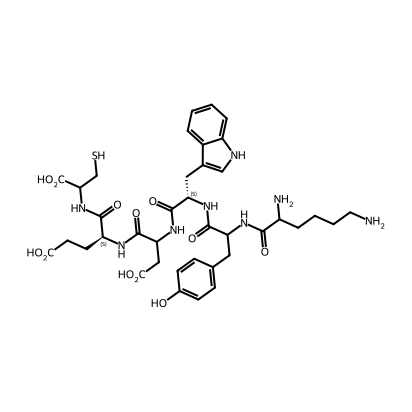 NCCCCC(N)C(=O)NC(Cc1ccc(O)cc1)C(=O)N[C@@H](Cc1c[nH]c2ccccc12)C(=O)NC(CC(=O)O)C(=O)N[C@@H](CCC(=O)O)C(=O)NC(CS)C(=O)O